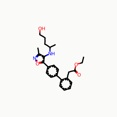 CCOC(=O)Cc1ccccc1-c1ccc(-c2onc(C)c2NC(C)CCCO)cc1